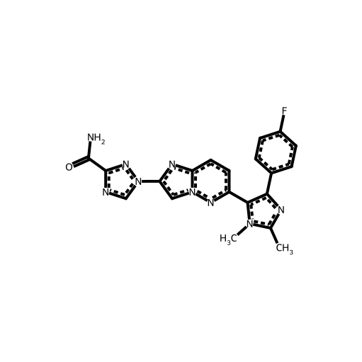 Cc1nc(-c2ccc(F)cc2)c(-c2ccc3nc(-n4cnc(C(N)=O)n4)cn3n2)n1C